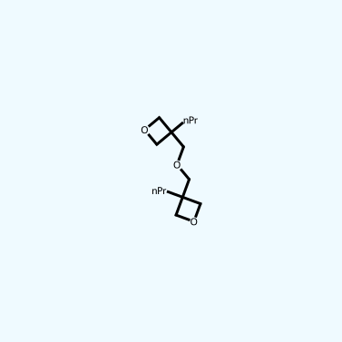 CCCC1(COCC2(CCC)COC2)COC1